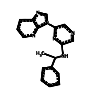 CC(Nc1cncc(-n2cnc3cccnc32)n1)c1ccccc1